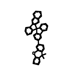 CC1(C)c2ccccc2Oc2cc(-c3ccc4c(c3)-c3ccccc3C43c4ccccc4-c4cc5ccccc5cc43)ccc21